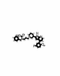 COc1ccc(F)cc1-c1ccnc2[nH]c(C3CCCN(CCCN(Cc4ccccc4)C(=O)O)C3)cc12